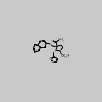 NC(=O)C1(COc2ccc3ccccc3c2)CCN(C(=O)O)[C@@H]1Cc1ccno1